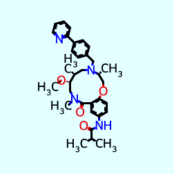 CO[C@H]1CN(C)C(=O)c2cc(NC(=O)C(C)C)ccc2OC[C@H](C)N(Cc2ccc(-c3ccccn3)cc2)C[C@@H]1C